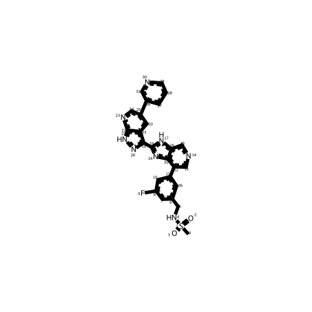 CS(=O)(=O)NCc1cc(F)cc(-c2cncc3[nH]c(-c4n[nH]c5ncc(-c6cccnc6)cc45)nc23)c1